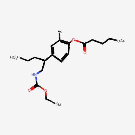 CC(=O)OCCCC(=O)Oc1ccc(C(CCC(=O)O)CNC(=O)OCC(C)(C)C)cc1C(C)=O